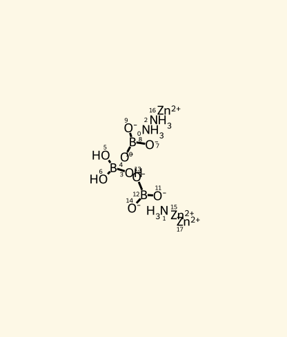 N.N.N.OB(O)O.[O-]B([O-])[O-].[O-]B([O-])[O-].[Zn+2].[Zn+2].[Zn+2]